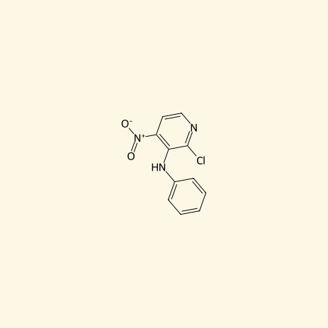 O=[N+]([O-])c1ccnc(Cl)c1Nc1ccccc1